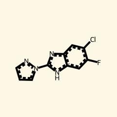 Fc1cc2[nH]c(-n3cccn3)nc2cc1Cl